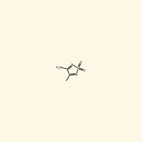 CC1=NS(=O)(=O)N=C1N